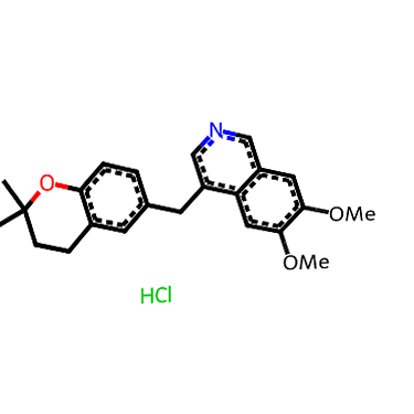 COc1cc2cncc(Cc3ccc4c(c3)CCC(C)(C)O4)c2cc1OC.Cl